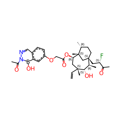 C=C[C@]1(C)C[C@@H](OC(=O)COc2ccc3c(c2)B(O)N(C(C)=O)N=C3)[C@@]2(C)C[C@](C[C@H](F)C(C)=O)(CC[C@H]2C)[C@@H](C)[C@@H]1O